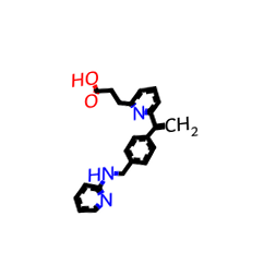 C=C(c1ccc(CNc2ccccn2)cc1)c1cccc(CCC(=O)O)n1